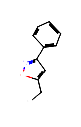 CC(C)Cc1cc(-c2ccccc2)no1